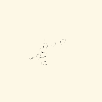 CC(C)NC(=O)O[C@H]1C[C@@H](c2cc(Nc3ncc(-c4ccnn4C)c4nc(C#N)cn34)n[nH]2)C[C@H]1F